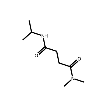 CC(C)NC(=O)CCC(=O)N(C)C